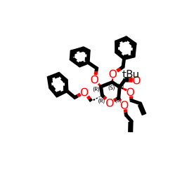 C=CCO[C@H]1O[C@H](COCc2ccccc2)[C@@H](OCc2ccccc2)[C@H](OCc2ccccc2)[C@]1(OCC=C)C(=O)C(C)(C)C